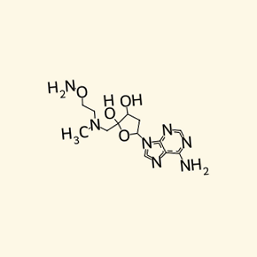 CN(CCON)CC1(O)OC(n2cnc3c(N)ncnc32)CC1O